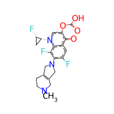 CN1CCC2=C(C1)CN(c1c(F)cc3c(=O)c(OC(=O)O)cn([C@@H]4C[C@@H]4F)c3c1F)C2